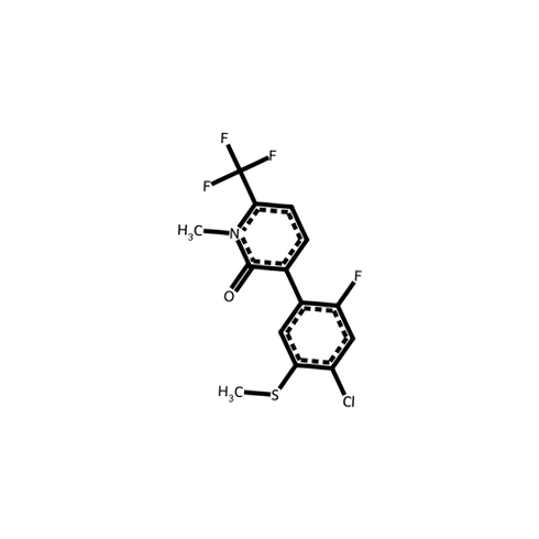 CSc1cc(-c2ccc(C(F)(F)F)n(C)c2=O)c(F)cc1Cl